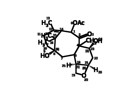 CC(=O)OC1C(=O)C2(C)C(C[C@]3(O)CCC(C)=C1C3(C)C)[C@@H]1CO[C@@H]1C[C@@H]2O